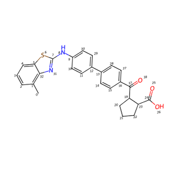 Cc1cccc2sc(Nc3ccc(-c4ccc(C(=O)C5CCCC5C(=O)O)cc4)cc3)nc12